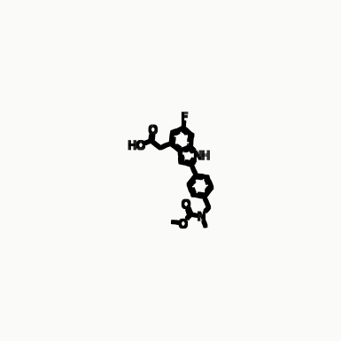 COC(=O)N(C)Cc1ccc(-c2cc3c(CC(=O)O)cc(F)cc3[nH]2)cc1